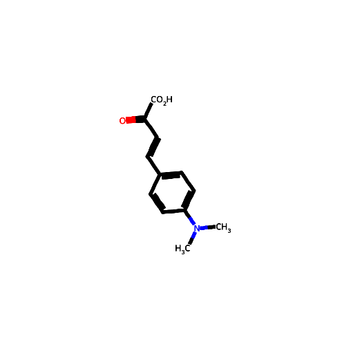 CN(C)c1ccc(C=CC(=O)C(=O)O)cc1